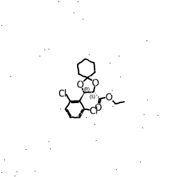 CCOC(=O)[C@H]1OC2(CCCCC2)O[C@@H]1c1c(Cl)cccc1Cl